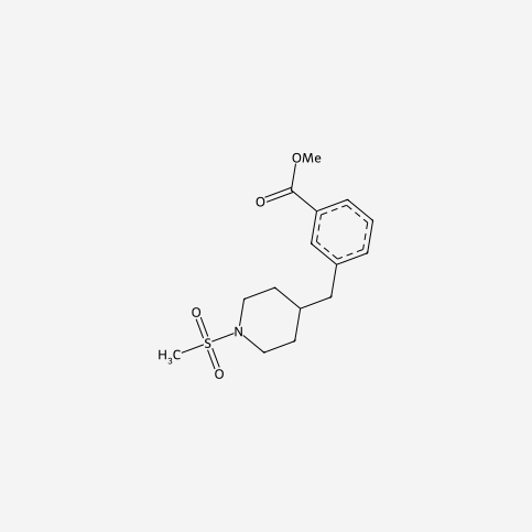 COC(=O)c1cccc(CC2CCN(S(C)(=O)=O)CC2)c1